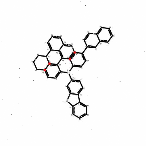 c1ccc(N(c2ccc(-c3ccc4ccccc4c3)cc2)c2ccc3c(c2)oc2ccccc23)c(-c2cccc3cccc(C4CCCCC4)c23)c1